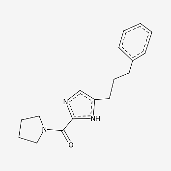 O=C(c1ncc(CCCc2ccccc2)[nH]1)N1CCCC1